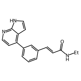 CCNC(=O)/C=C/c1cccc(-c2ccnc3[nH]ccc23)c1